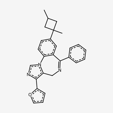 CC1CC(C)(c2ccc3c(c2)C(c2ccccc2)=NCc2c(-c4ccco4)ncn2-3)C1